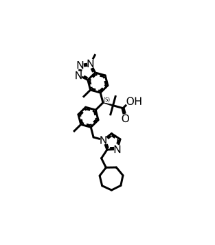 Cc1ccc([C@@H](c2ccc3c(nnn3C)c2C)C(C)(C)C(=O)O)cc1Cn1ccnc1CC1CCCCCC1